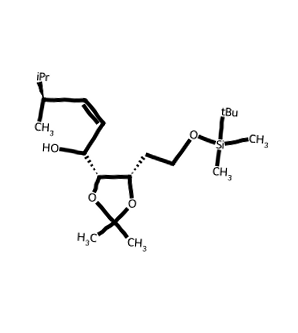 CC(C)[C@H](C)/C=C\C(O)[C@H]1OC(C)(C)O[C@H]1CCO[Si](C)(C)C(C)(C)C